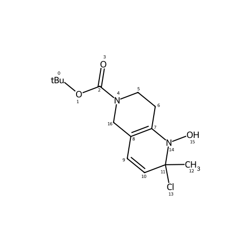 CC(C)(C)OC(=O)N1CCC2=C(C=CC(C)(Cl)N2O)C1